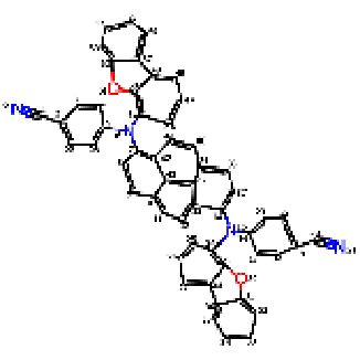 N#Cc1ccc(N(c2ccc3ccc4c(N(c5ccc(C#N)cc5)c5cccc6c5oc5ccccc56)ccc5ccc2c3c54)c2cccc3c2oc2ccccc23)cc1